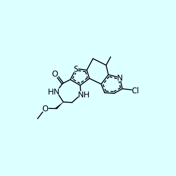 COC[C@@H]1CNc2c(sc3c2-c2ccc(Cl)nc2C(C)C3)C(=O)N1